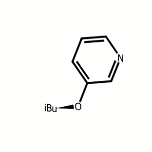 CC[C@H](C)Oc1cccnc1